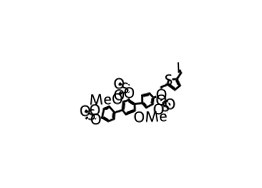 COc1cc(-c2ccc(OS(C)(=O)=O)cc2)c(OC)c(OS(C)(=O)=O)c1-c1ccc(OCc2ccc(CI)s2)c(OS(C)(=O)=O)c1